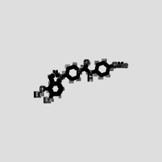 CCOc1c(CC)ccc2c1cnn2C1CCN(C(=O)NC2CCC(OC)CC2)CC1